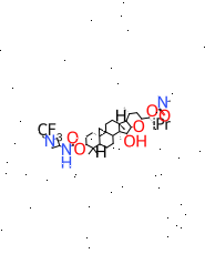 CC(C)[C@@H](OC(=O)N(C)C)C1C[C@@H](C)[C@H]2C(O1)[C@H](O)[C@@]1(C)C3CC[C@H]4C(C)(C)[C@@H](OC(=O)NC5CN(CC(F)(F)F)C5)CC[C@@]45CC35CC[C@]21C